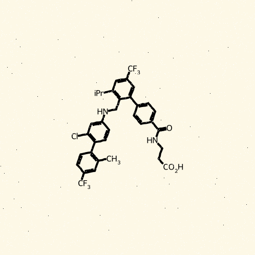 Cc1cc(C(F)(F)F)ccc1-c1ccc(NCc2c(-c3ccc(C(=O)NCCC(=O)O)cc3)cc(C(F)(F)F)cc2C(C)C)cc1Cl